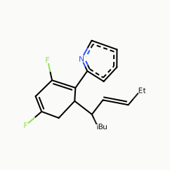 CCC=CC(C(C)CC)C1CC(F)=CC(F)=C1c1ccccn1